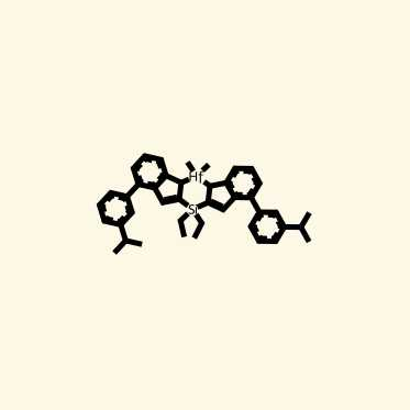 CC[Si]1(CC)C2=Cc3c(-c4cccc(C(C)C)c4)cccc3[CH]2[Hf]([CH3])([CH3])[CH]2C1=Cc1c(-c3cccc(C(C)C)c3)cccc12